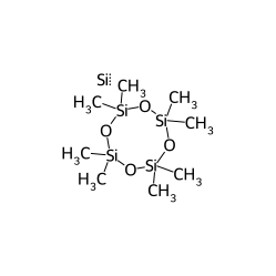 C[Si]1(C)O[Si](C)(C)O[Si](C)(C)O[Si](C)(C)O1.[Si]